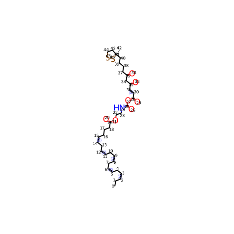 CC/C=C\C/C=C\C/C=C\C/C=C\C/C=C\CCCC(=O)OCCNC(=O)OC(=O)/C=C/C(=O)CC(=O)CCCC[C@]1(C)CCSS1